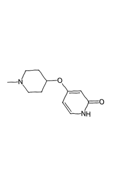 CN1CCC(Oc2cc[nH]c(=O)c2)CC1